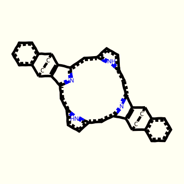 c1ccc2c(c1)C1CCC2C2=C1c1cc3ccc(cc4nc(cc5ccc(cc2n1)[nH]5)C1=C4C2CCC1c1ccccc12)[nH]3